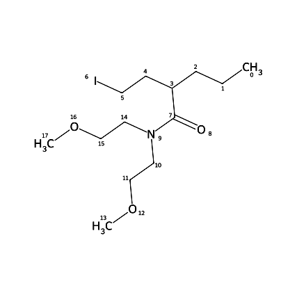 CCCC(CCI)C(=O)N(CCOC)CCOC